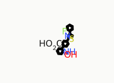 O=C(O)c1cc(-c2nc(-c3ccccc3F)cs2)ccc1-c1ccccc1NO